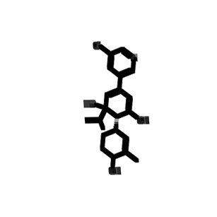 C=C(C)C1(O)C=C(c2cncc(Cl)c2)C=C(O)[C@@H]1C1C=C(C)C(O)CC1